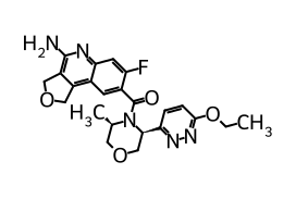 CCOc1ccc([C@H]2COC[C@@H](C)N2C(=O)c2cc3c4c(c(N)nc3cc2F)COC4)nn1